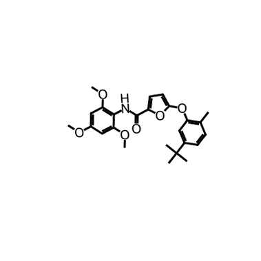 COc1cc(OC)c(NC(=O)c2ccc(Oc3cc(C(C)(C)C)ccc3C)o2)c(OC)c1